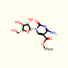 CCCCCOC(=O)c1cn([C@@H]2O[C@H](CO)[C@@H](O)[C@@H]2O)c(=O)nc1N